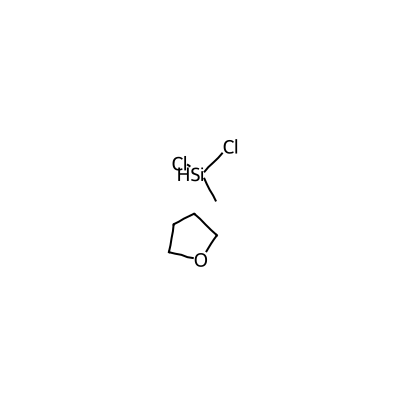 C1CCOC1.C[SiH](Cl)Cl